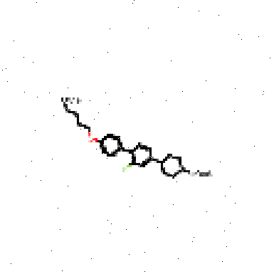 CCCCCC1CCC(c2ccc(-c3ccc(OCCCCOC)cc3)c(F)c2)CC1